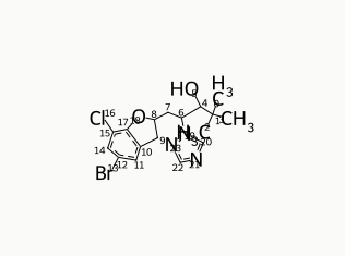 CC(C)(C)C(O)C(CC1Cc2cc(Br)cc(Cl)c2O1)n1cncn1